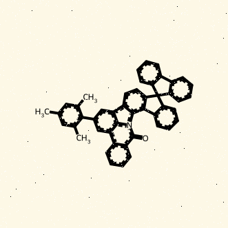 Cc1cc(C)c(-c2cc3c4ccccc4c(=O)n4c5c6c(ccc5c(c2)c34)C2(c3ccccc3-c3ccccc32)c2ccccc2-6)c(C)c1